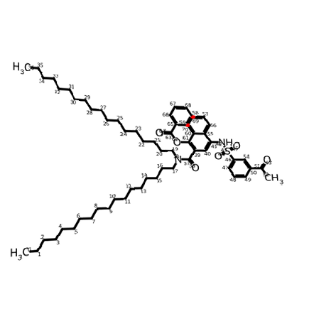 CCCCCCCCCCCCCCCCCCN(CCCCCCCCCCCCCCCCCC)C(=O)c1cc(NS(=O)(=O)c2cccc(C(C)=O)c2)c2ccccc2c1OC(=O)c1ccccc1